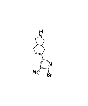 N#Cc1cc(C2=CCC3CNCC3C2)cnc1Br